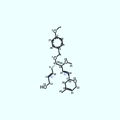 COc1ccc(CO[C@@H](C/C=C/CO)[C@H](/C=C/[C@@H]2CC(C)=CCO2)OC)cc1